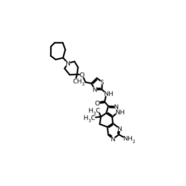 CC1(OCc2csc(NC(=O)c3n[nH]c4c3C(C)(C)Cc3cnc(N)nc3-4)n2)CCN(C2CCCCCC2)CC1